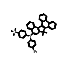 CC(C)c1ccc(N(c2ccc([Si](C)(C)C)cc2)c2cc3c(c4ccccc24)-c2c(c4ccccc4c4ccccc24)C3(C)C)cc1